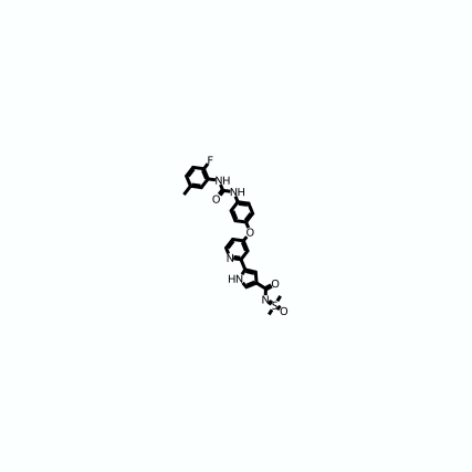 Cc1ccc(F)c(NC(=O)Nc2ccc(Oc3ccnc(-c4cc(C(=O)N=S(C)(C)=O)c[nH]4)c3)cc2)c1